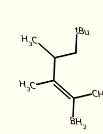 B/C(C)=C(\C)C(C)CC(C)(C)C